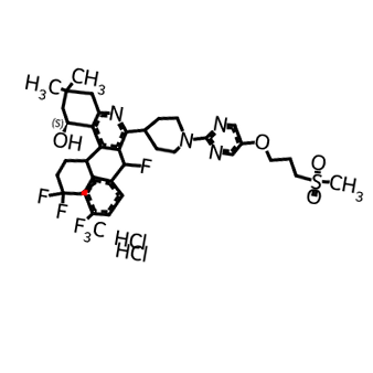 CC1(C)Cc2nc(C3CCN(c4ncc(OCCCS(C)(=O)=O)cn4)CC3)c(C(F)c3ccc(C(F)(F)F)cc3)c(C3CCC(F)(F)CC3)c2[C@@H](O)C1.Cl.Cl